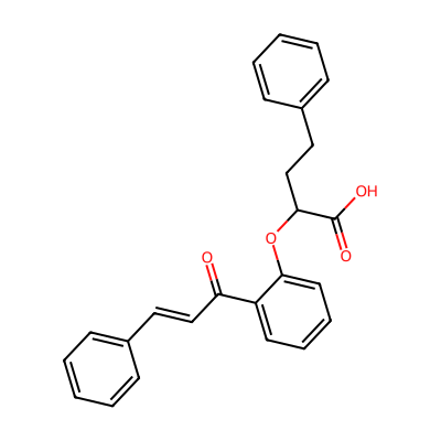 O=C(C=Cc1ccccc1)c1ccccc1OC(CCc1ccccc1)C(=O)O